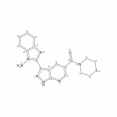 Nn1c(-c2n[nH]c3ncc(C(=O)N4CCSCC4)cc23)nc2ccccc21